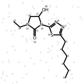 CCCCCCc1nnc(N2C(=O)N(CC)CC2O)s1